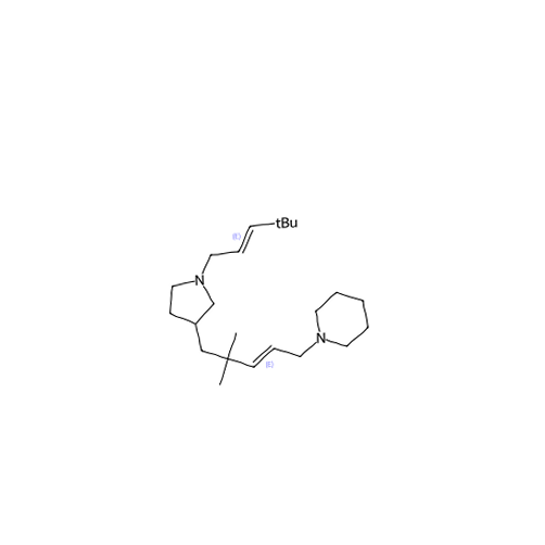 CC(C)(C)/C=C/CN1CCC(CC(C)(C)/C=C/CN2CCCCC2)C1